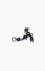 O=C(Nc1ccc(C(F)(F)F)cc1C1CCN(C/C=C/c2ccc(Cl)cc2)CC1)c1ccncc1